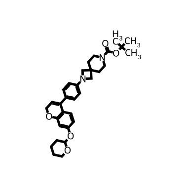 CC(C)(C)OC(=O)N1CCC2(CC1)CN(c1ccc(C3=CCOc4cc(OC5CCCCO5)ccc43)cc1)C2